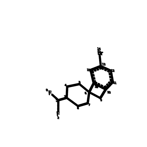 FC(F)C1CCC2(CC1)Cc1ccc(Br)cc12